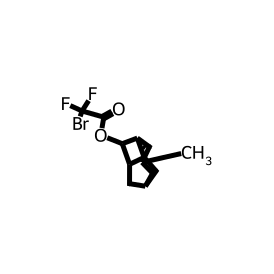 CC1C=C2C3CC(C1)CC3C2OC(=O)C(F)(F)Br